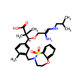 Cc1ccc([C@H](OC/C(N)=C/NCC(C)C)C(C)(C)C(=O)O)cc1CN1CCOc2ccccc2S1(=O)=O